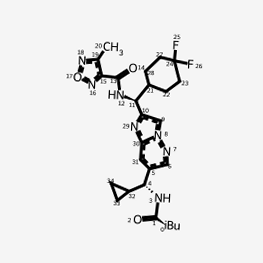 CC[C@H](C)C(=O)N[C@@H](c1cnn2cc([C@@H](NC(=O)c3nonc3C)C3CCC(F)(F)CC3)nc2c1)C1CC1